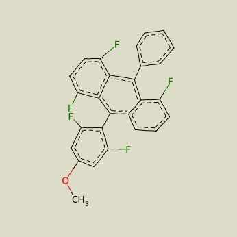 COc1cc(F)c(-c2c3cccc(F)c3c(-c3ccccc3)c3c(F)ccc(F)c23)c(F)c1